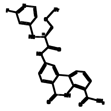 CC(C)OC[C@H](Nc1ccnc(F)c1)C(=O)Nc1ccc2c(=O)[nH]c3c(C(N)=O)cccc3c2c1